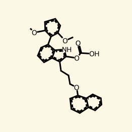 COc1cccc(OC)c1-c1cccc2c(CCCOc3cccc4ccccc34)c(OC(=O)O)[nH]c12